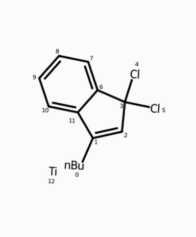 CCCCC1=CC(Cl)(Cl)c2ccccc21.[Ti]